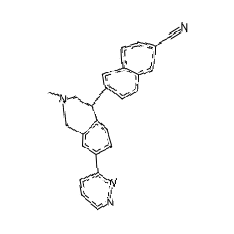 CN1Cc2cc(-c3cccnn3)ccc2C(c2ccc3cc(C#N)ccc3c2)C1